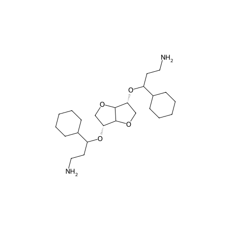 NCCC(O[C@@H]1COC2C1OC[C@H]2OC(CCN)C1CCCCC1)C1CCCCC1